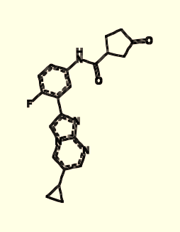 O=C1CCC(C(=O)Nc2ccc(F)c(-c3cn4cc(C5CC5)cnc4n3)c2)C1